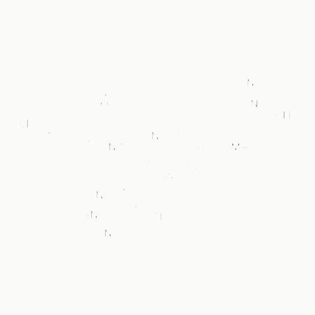 COC(=O)C(Cc1cnn(C)c1)N1CC(=O)N(c2cc(Cl)ccc2-n2cc(Cl)nn2)CC1=O